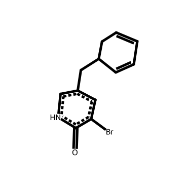 O=c1[nH]cc(CC2C=CC=CC2)cc1Br